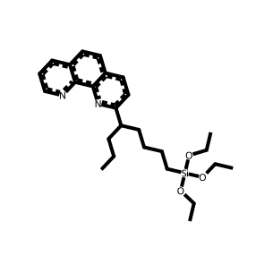 CCCC(CCCC[Si](OCC)(OCC)OCC)c1ccc2ccc3cccnc3c2n1